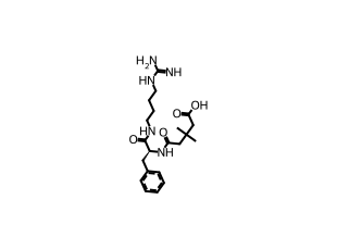 CC(C)(CC(=O)O)CC(=O)N[C@@H](Cc1ccccc1)C(=O)NCCCCNC(=N)N